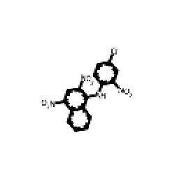 O=[N+]([O-])c1cc(Cl)ccc1Nc1c([N+](=O)[O-])cc([N+](=O)[O-])c2ccccc12